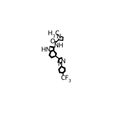 CN1CCC1C(=O)Nc1c[nH]c2ccc(-c3cnn(-c4ccc(C(F)(F)F)cc4)c3)cc12